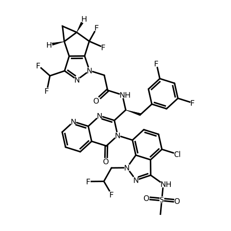 CS(=O)(=O)Nc1nn(CC(F)F)c2c(-n3c([C@H](Cc4cc(F)cc(F)c4)NC(=O)Cn4nc(C(F)F)c5c4C(F)(F)[C@H]4C[C@@H]54)nc4ncccc4c3=O)ccc(Cl)c12